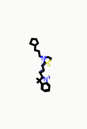 C[N+]1=C(/C=C/C=C2\SCCN2CCCC2CCCC2)C(C)(C)c2ccccc21